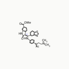 COC(=O)c1ccc2c(c1)NC(=O)/C2=C(\Nc1ccc(N(CCN(C)C)C(C)=O)cc1)c1ccc2scnc2c1